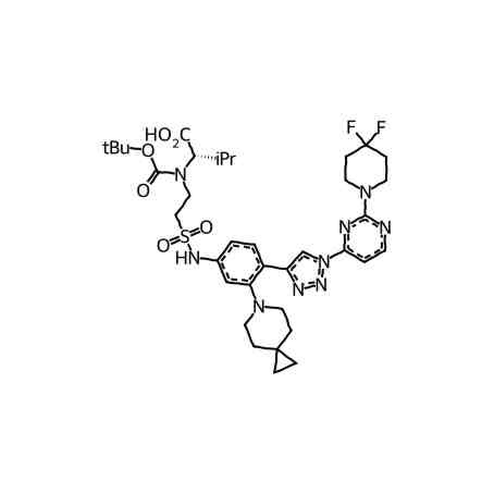 CC(C)[C@@H](C(=O)O)N(CCS(=O)(=O)Nc1ccc(-c2cn(-c3ccnc(N4CCC(F)(F)CC4)n3)nn2)c(N2CCC3(CC2)CC3)c1)C(=O)OC(C)(C)C